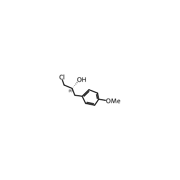 COc1ccc(C[C@@H](O)CCl)cc1